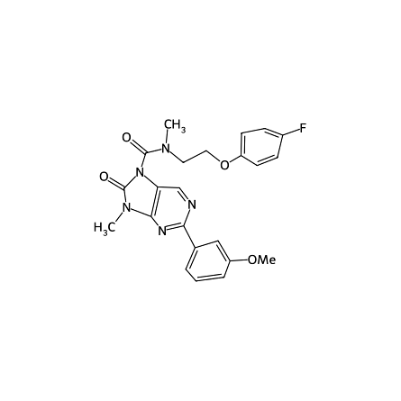 COc1cccc(-c2ncc3c(n2)n(C)c(=O)n3C(=O)N(C)CCOc2ccc(F)cc2)c1